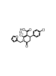 CC1=C(C(=O)O)C(c2ccc(Cl)cc2)CC(=O)N1Cc1ccco1